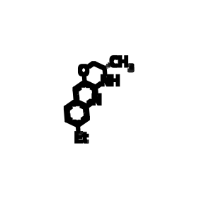 CCc1ccc2cc3c(nc2c1)N[C@@H](C)CO3